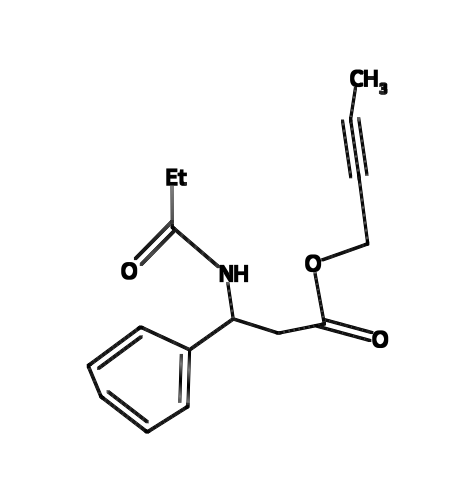 CC#CCOC(=O)CC(NC(=O)CC)c1ccccc1